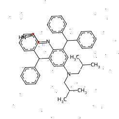 CC(C)CN(CC(C)C)c1cc(C(c2ccccc2)c2ccccc2)c(/N=C/C=N)c(C(c2ccccc2)c2ccccc2)c1